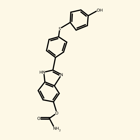 NC(=O)Oc1ccc2[nH]c(-c3ccc(Sc4ccc(O)cc4)cc3)nc2c1